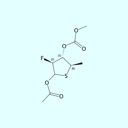 COC(=O)O[C@H]1[C@H](F)C(OC(C)=O)S[C@@H]1C